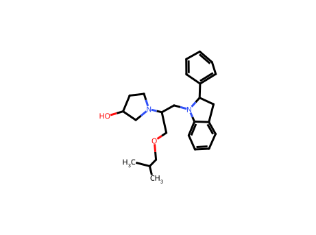 CC(C)COCC(CN1c2ccccc2CC1c1ccccc1)N1CCC(O)C1